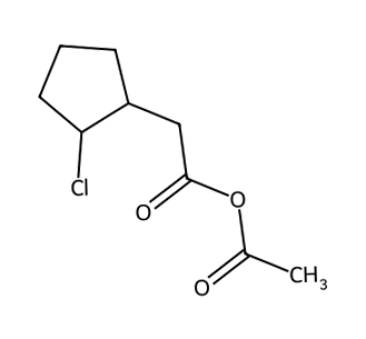 CC(=O)OC(=O)CC1CCCC1Cl